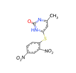 Cc1cc(Sc2ccc([N+](=O)[O-])cc2[N+](=O)[O-])[nH]c(=O)n1